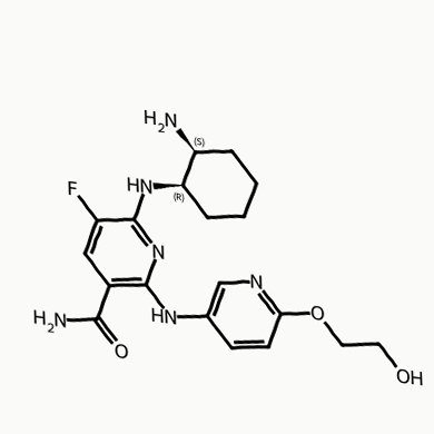 NC(=O)c1cc(F)c(N[C@@H]2CCCC[C@@H]2N)nc1Nc1ccc(OCCO)nc1